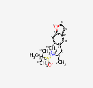 C[C@H](Cc1ccc2occc2c1)N(C)[S@+]([O-])C(C)(C)C